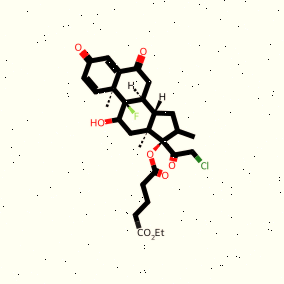 CCOC(=O)CCCC(=O)O[C@]1(C(=O)CCl)C(C)C[C@H]2[C@@H]3CC(=O)C4=CC(=O)C=C[C@]4(C)[C@@]3(F)C(O)C[C@@]21C